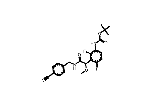 COC(C(=O)NCc1ccc(C#N)cc1)c1c(F)ccc(NC(=O)OC(C)(C)C)c1F